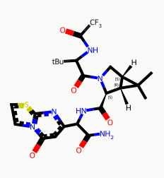 CC(C)(C)C(NC(=O)C(F)(F)F)C(=O)N1C[C@H]2[C@@H]([C@H]1C(=O)NC(C(N)=O)c1cc(=O)n3ccsc3n1)C2(C)C